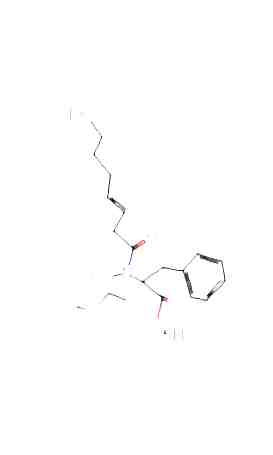 CCCC/C=C/CC(=O)N(C)[C@@](CCSC)(Cc1ccccc1)C(=O)OC